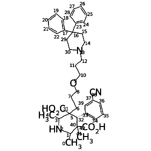 CC1NC(C)C(CCCOCCCN2CCC(c3ccccc3)(c3ccccc3)CC2)(C(=O)O)[C@H](c2cccc(C#N)c2)C1(C)C(=O)O